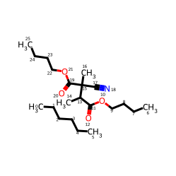 CCCCCC.CCCCOC(=O)C(C)C(C)(C#N)C(=O)OCCCC